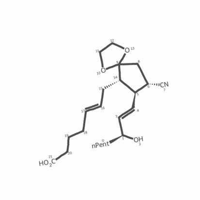 CCCCC[C@H](O)C=C[C@@H]1[C@@H](C#N)CC2(OCCO2)[C@H]1CC=CCCCC(=O)O